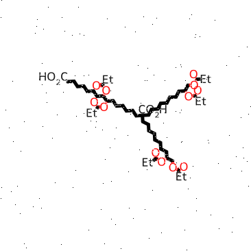 CCC(=O)OCC(CCCCCCCCC(CCCCCCCCC(COC(=O)CC)OC(=O)CC)(CCCCCCC(OC(=O)CC)C(CCCCCCCC(=O)O)OC(=O)CC)C(=O)O)OC(=O)CC